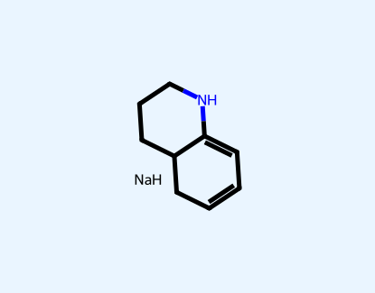 C1=CCC2CCCNC2=C1.[NaH]